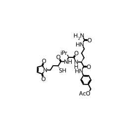 CC(=O)OCc1ccc(NC(=O)[C@H](CCCNC(N)=O)NC(=O)[C@@H](NC(=O)[C@H](S)CCN2C(=O)C=CC2=O)C(C)C)cc1